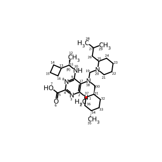 C=Nc1nc(C(=O)O)nc(N[C@H](C)C2CCC2)c1N(CN1CCCCC1CC(C)C)C[C@H]1CC[C@H](C)CC1